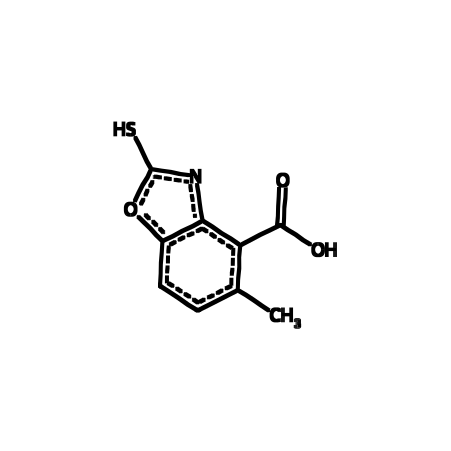 Cc1ccc2oc(S)nc2c1C(=O)O